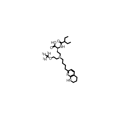 [2H]C([2H])([2H])OCCN(CCCCc1ccc2c(n1)NCCC2)CC[C@H](NC(=O)C(CC)CC)C(=O)O